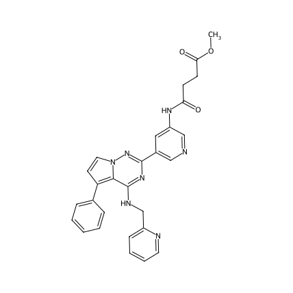 COC(=O)CCC(=O)Nc1cncc(-c2nc(NCc3ccccn3)c3c(-c4ccccc4)ccn3n2)c1